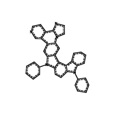 c1ccc(-n2c3ccccc3c3c4c5cc6c(cc5n(-c5ccccc5)c4ccc32)c2cnccc2c2nccn62)cc1